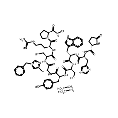 CC(=O)O.CC(=O)O.CCNC(=O)[C@@H]1CCCN1C(=O)[C@H](CCCNC(=N)N)NC(=O)[C@H](CC(C)C)NC(=O)[C@@H](Cc1cn(Cc2ccccc2)cn1)NC(=O)[C@H](Cc1ccc(O)cc1)NC(=O)[C@H](CO)NC(=O)[C@H](Cc1c[nH]c2ccccc12)NC(=O)[C@H](Cc1c[nH]cn1)NC(=O)[C@@H]1CCC(=O)N1